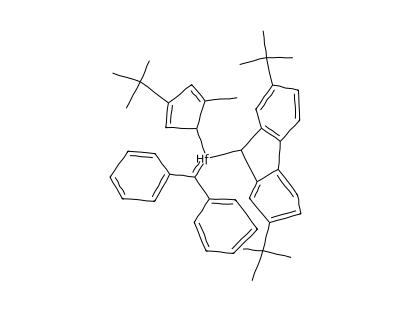 CC1=CC(C(C)(C)C)=C[CH]1[Hf](=[C](c1ccccc1)c1ccccc1)[CH]1c2cc(C(C)(C)C)ccc2-c2ccc(C(C)(C)C)cc21